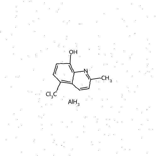 Cc1ccc2c(C(Cl)(Cl)Cl)ccc(O)c2n1.[AlH3]